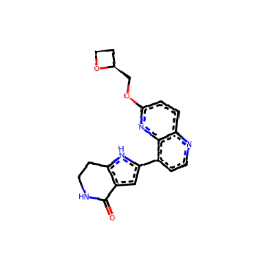 O=C1NCCc2[nH]c(-c3ccnc4ccc(OC[C@@H]5CCO5)nc34)cc21